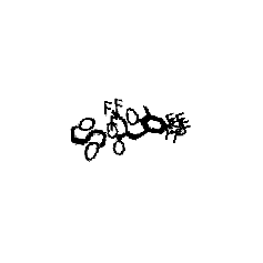 Cc1cc(S(F)(F)(F)(F)F)cc2c1OC(C(F)(F)F)C(C(=O)OC1COC3CCOC31)=C2